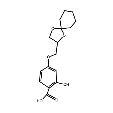 O=C(O)c1ccc(OCC2COC3(CCCCC3)O2)cc1O